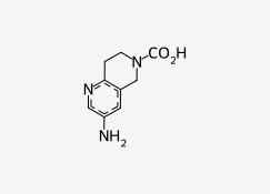 Nc1cnc2c(c1)CN(C(=O)O)CC2